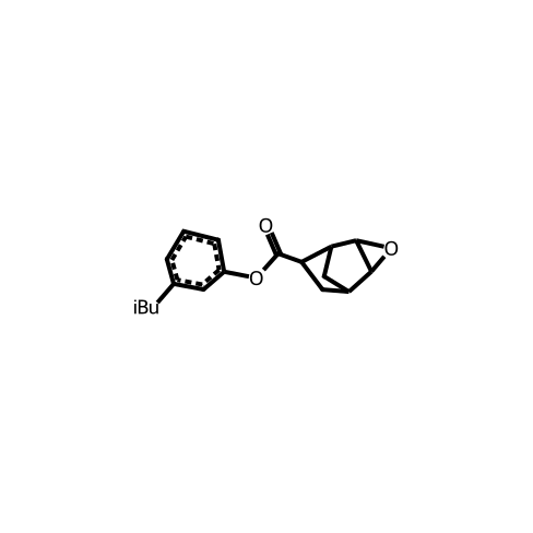 CCC(C)c1cccc(OC(=O)C2CC3CC2C2OC32)c1